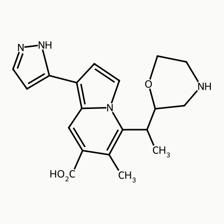 Cc1c(C(=O)O)cc2c(-c3ccn[nH]3)ccn2c1C(C)C1CNCCO1